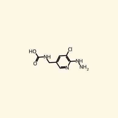 NNc1ncc(CNC(=O)O)cc1Cl